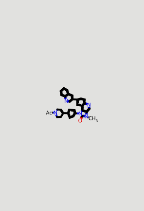 CC(=O)N1CC=C(c2ccc(-n3c(=O)n(C)c4cnc5ccc(-c6cnc7ccccc7c6)cc5c43)cc2)CC1